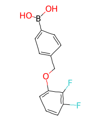 OB(O)c1ccc(COc2cccc(F)c2F)cc1